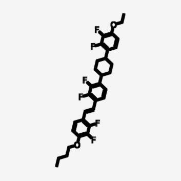 CCCCOc1ccc(/C=C/c2ccc(C3CCC(c4ccc(OCC)c(F)c4F)CC3)c(F)c2F)c(F)c1F